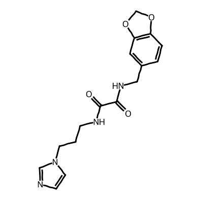 O=C(NCCCn1ccnc1)C(=O)NCc1ccc2c(c1)OCO2